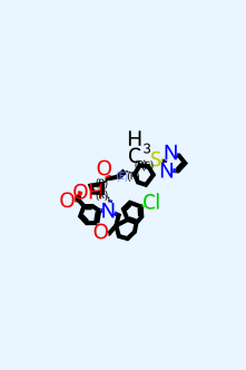 C[C@H]1[C@@H](Sc2ncccn2)CCC[C@@H]1/C=C/C(=O)[C@@H]1CC[C@H]1CN1CC2(CCCc3cc(Cl)ccc32)COc2ccc(C(=O)O)cc21